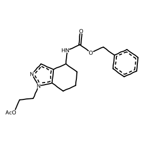 CC(=O)OCCn1ncc2c1CCCC2NC(=O)OCc1ccccc1